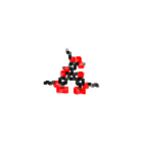 CCCCOc1cc(OC)c(-c2c(C)c(-c3cc(C(=O)OC)c(OCCCC)cc3OC)c(C)c(-c3cc(C(=O)OC)c(OCCCC)cc3OC)c2C)cc1C(=O)OC